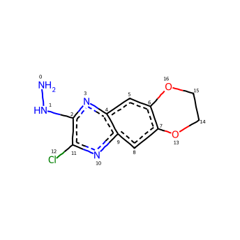 NNc1nc2cc3c(cc2nc1Cl)OCCO3